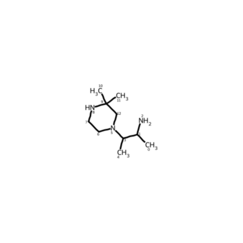 CC(N)C(C)N1CCNC(C)(C)C1